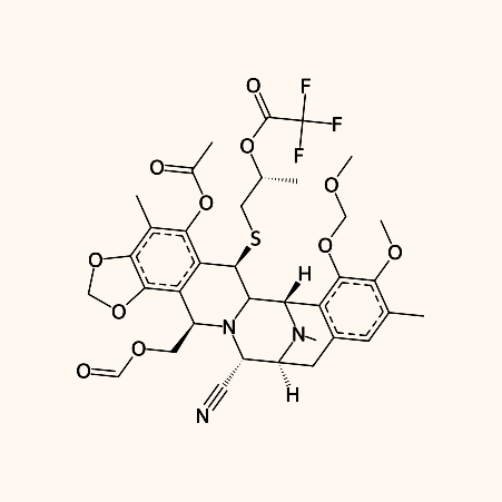 COCOc1c(OC)c(C)cc2c1[C@H]1C3[C@H](SC[C@@H](C)OC(=O)C(F)(F)F)c4c(OC(C)=O)c(C)c5c(c4[C@H](COC=O)N3[C@@H](C#N)[C@H](C2)N1C)OCO5